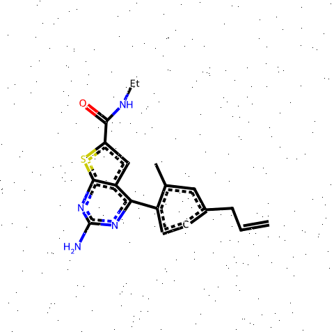 C=CCc1ccc(-c2nc(N)nc3sc(C(=O)NCC)cc23)c(C)c1